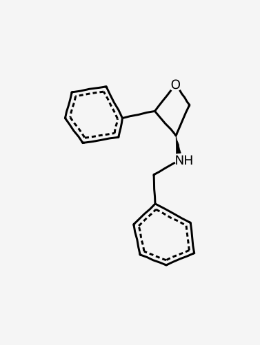 c1ccc(CN[C@@H]2COC2c2ccccc2)cc1